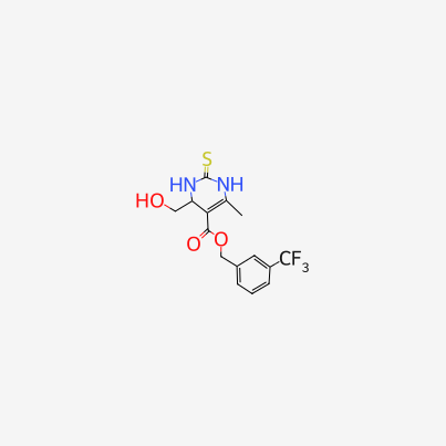 CC1=C(C(=O)OCc2cccc(C(F)(F)F)c2)C(CO)NC(=S)N1